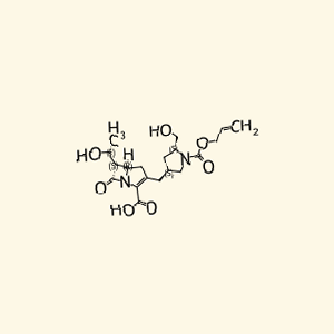 C=CCOC(=O)N1C[C@@H](CC2=C(C(=O)O)N3C(=O)[C@H]([C@@H](C)O)[C@H]3C2)C[C@H]1CO